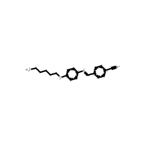 CCCCCCOc1ccc(/N=C/c2ccc(C#N)cc2)cc1